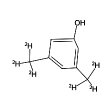 [2H]C([2H])([2H])c1cc(O)cc(C([2H])([2H])[2H])c1